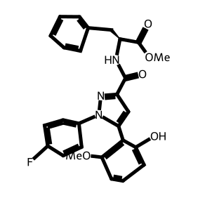 COC(=O)[C@H](Cc1ccccc1)NC(=O)c1cc(-c2c(O)cccc2OC)n(C2=C=C=C(F)C=C2)n1